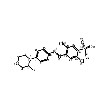 CC1COCCN1c1ccc(N=Nc2cc(Cl)c(S(=O)(=O)F)cc2Cl)cc1